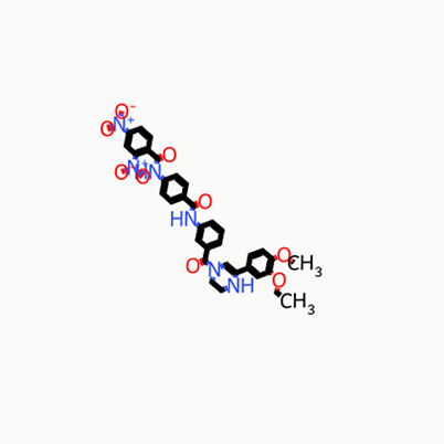 CCOc1cc(C2=CN(C(=O)c3cccc(NC(=O)c4ccc(NC(=O)c5ccc([N+](=O)[O-])cc5[N+](=O)[O-])cc4)c3)CCN2)ccc1OC